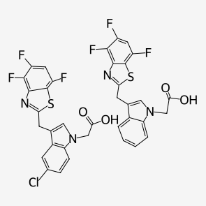 O=C(O)Cn1cc(Cc2nc3c(F)c(F)cc(F)c3s2)c2cc(Cl)ccc21.O=C(O)Cn1cc(Cc2nc3c(F)c(F)cc(F)c3s2)c2ccccc21